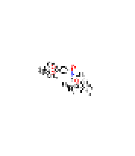 CC(CN(C)C(=O)c1ccc(B2OC(C)(C)C(C)(C)O2)cc1)O[Si](C)(C)C(C)(C)C